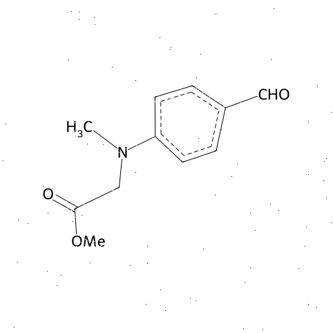 COC(=O)CN(C)c1ccc(C=O)cc1